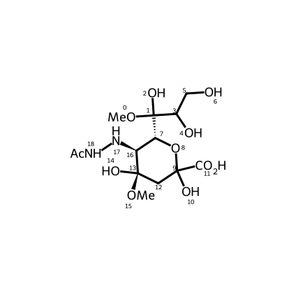 COC(O)(C(O)CO)[C@@H]1OC(O)(C(=O)O)C[C@@](O)(OC)[C@H]1NNC(C)=O